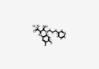 Cc1cc2nc(C(N)=O)c(=N)n(CCCc3cccnc3)c2cc1C